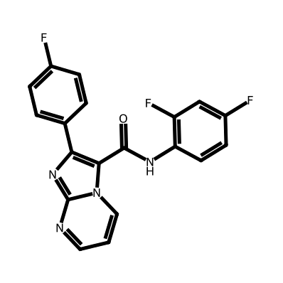 O=C(Nc1ccc(F)cc1F)c1c(-c2ccc(F)cc2)nc2ncccn12